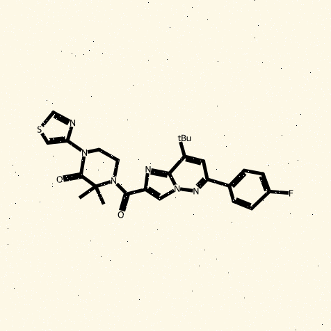 CC(C)(C)c1cc(-c2ccc(F)cc2)nn2cc(C(=O)N3CCN(c4cscn4)C(=O)C3(C)C)nc12